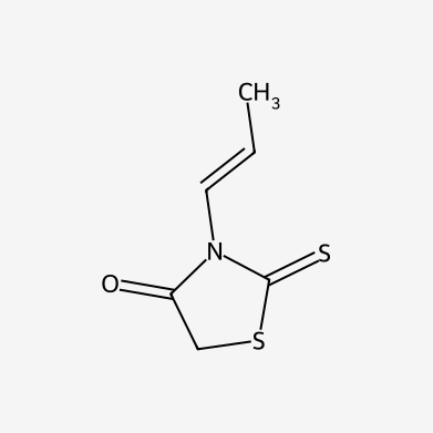 CC=CN1C(=O)CSC1=S